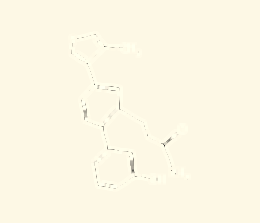 Cc1cscc1-c1ccc(-c2cccc(O)c2)c(CCC(N)=O)c1